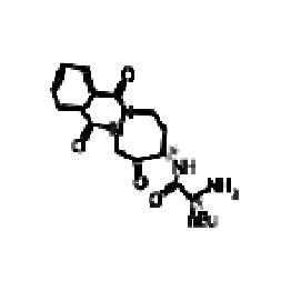 CCCC[C@H](N)C(=O)N[C@H]1CCn2c(=O)c3ccccc3c(=O)n2CC1=O